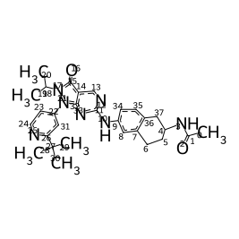 CC(=O)NC1CCc2cc(Nc3ncc4c(=O)n(C(C)C)n(-c5ccnc(C(C)(C)C)c5)c4n3)ccc2C1